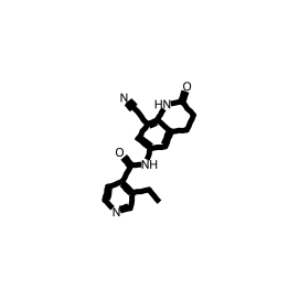 CCc1cnccc1C(=O)Nc1cc(C#N)c2c(c1)CCC(=O)N2